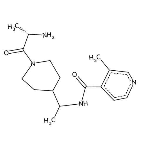 Cc1cnccc1C(=O)NC(C)C1CCN(C(=O)[C@H](C)N)CC1